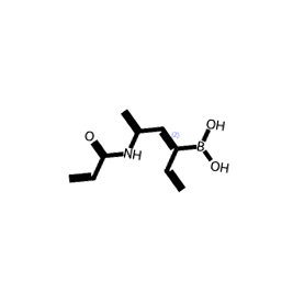 C=CC(=O)NC(=C)/C=C(\C=C)B(O)O